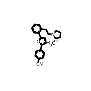 C[C@H]1CCCN1CCc1ccccc1-c1ccc(-c2ccc(C#N)cc2)o1